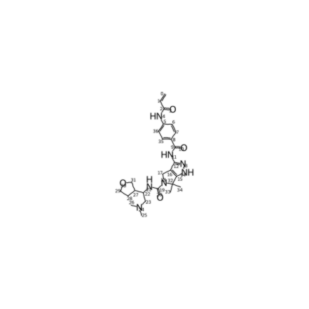 C=CC(=O)Nc1ccc(C(=O)Nc2n[nH]c3c2CN(C(=O)NC(CN(C)C)C2CCOC2)C3(C)C)cc1